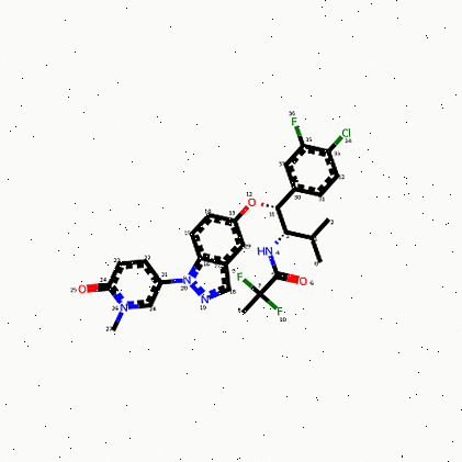 CC(C)[C@H](NC(=O)C(C)(F)F)[C@H](Oc1ccc2c(cnn2-c2ccc(=O)n(C)c2)c1)c1ccc(Cl)c(F)c1